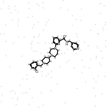 O=C(NCc1ccncc1)c1cccc(N2CCCN(C3CCN(Cc4ccccc4Cl)CC3)CC2)n1